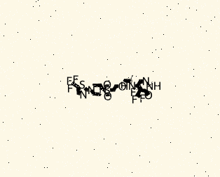 C[C@@H](COCCS(=O)(=O)N1CCN(c2ncc(C(F)(F)F)s2)CC1)Nc1cn[nH]c(=O)c1C(F)(F)F